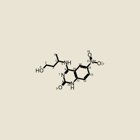 CC(CCO)Nc1nc(=O)[nH]c2ccc([N+](=O)[O-])cc12